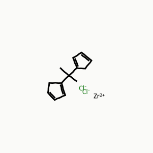 CC(C)(C1=CC=CC1)C1=CC=CC1.[Cl-].[Cl-].[Zr+2]